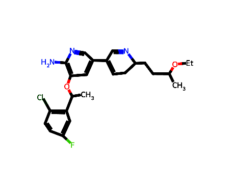 CCOC(C)CCC1CC=C(c2cnc(N)c(OC(C)c3cc(F)ccc3Cl)c2)C=N1